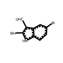 CC(C)(C)c1[nH]c2ccc(Br)cc2c1C=O